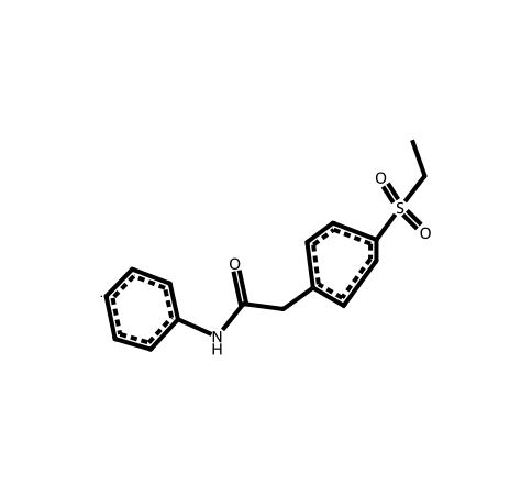 CCS(=O)(=O)c1ccc(CC(=O)Nc2cc[c]cc2)cc1